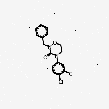 O=C1N(Cc2ccccc2)OCCN1c1ccc(Cl)c(Cl)c1